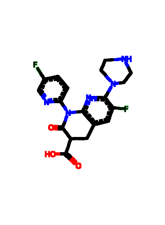 O=C(O)C1Cc2cc(F)c(N3CCNCC3)nc2N(c2ccc(F)cn2)C1=O